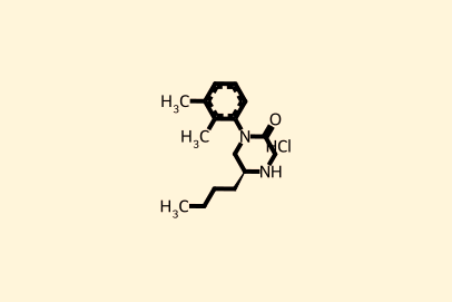 CCCC[C@H]1CN(c2cccc(C)c2C)C(=O)CN1.Cl